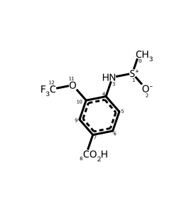 C[S+]([O-])Nc1ccc(C(=O)O)cc1OC(F)(F)F